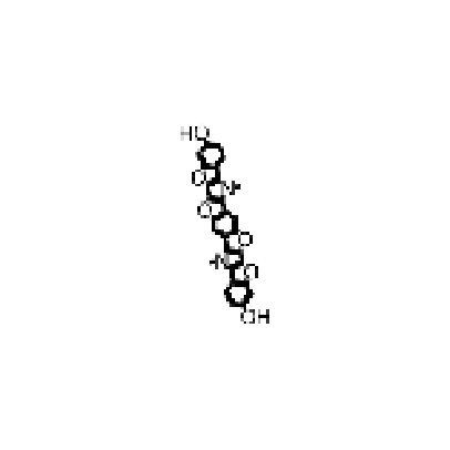 Cn1c2c3ccc(O)cc3oc2c2oc3cc4c(cc3c21)oc1c2oc3cc(O)ccc3c2n(C)c41